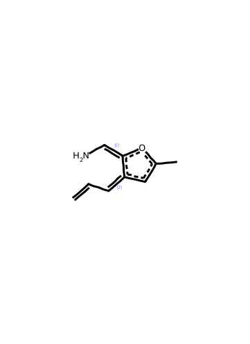 C=C/C=c1/cc(C)o/c1=C/N